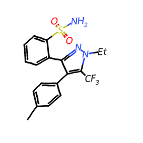 CCn1nc(-c2ccccc2S(N)(=O)=O)c(-c2ccc(C)cc2)c1C(F)(F)F